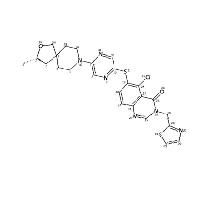 C[C@H]1CC2(CCN(c3cnc(Sc4ccc5ncn(Cc6nccs6)c(=O)c5c4Cl)cn3)CC2)CO1